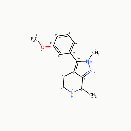 CC1NCCc2c1nn(C)c2-c1cccc(OC(F)(F)F)c1